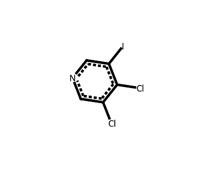 Clc1cncc(I)c1Cl